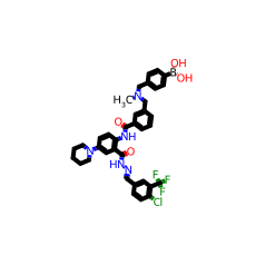 CN(Cc1ccc(B(O)O)cc1)Cc1cccc(C(=O)Nc2ccc(N3CCCCC3)cc2C(=O)N/N=C/c2ccc(Cl)c(C(F)(F)F)c2)c1